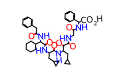 O=C(CNC(=O)C(=O)C(CC1CC1)NC(=O)C(CC1CC1)NC(=O)C(NC(=O)Cc1ccccc1)C1CCCCC1)NC(C(=O)O)c1ccccc1